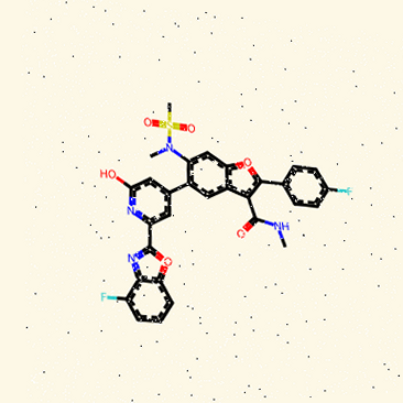 CNC(=O)c1c(-c2ccc(F)cc2)oc2cc(N(C)S(C)(=O)=O)c(-c3cc(O)nc(-c4nc5c(F)cccc5o4)c3)cc12